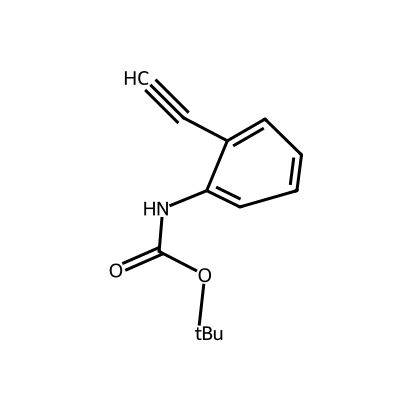 C#Cc1ccccc1NC(=O)OC(C)(C)C